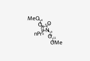 CCC[C@H]1[C@@H](OCOC)C(=O)N1COCOC